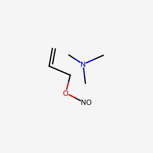 C=CCON=O.CN(C)C